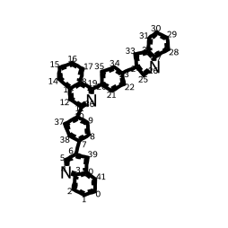 c1ccc2ncc(-c3ccc(-c4cc5ccccc5c(-c5ccc(-c6cnc7ccccc7c6)cc5)n4)cc3)cc2c1